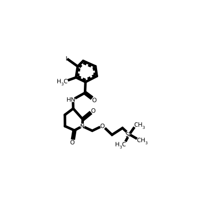 Cc1c(I)cccc1C(=O)NC1CCC(=O)N(COCC[Si](C)(C)C)C1=O